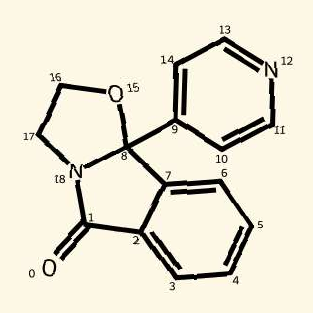 O=C1c2ccccc2C2(c3ccncc3)OCCN12